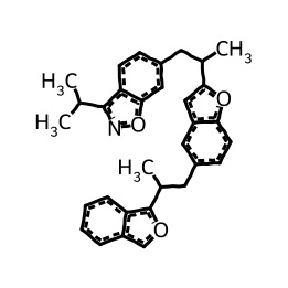 CC(C)c1noc2cc(CC(C)c3cc4cc(CC(C)c5occ6ccccc56)ccc4o3)ccc12